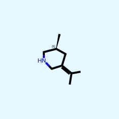 CC(C)=C1CNC[C@@H](C)C1